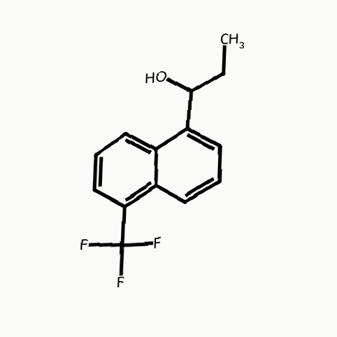 CCC(O)c1cccc2c(C(F)(F)F)cccc12